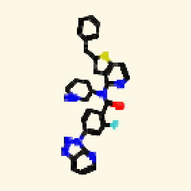 O=C(c1ccc(-n2nnc3cccnc32)cc1F)N(c1nccc2sc(Cc3ccccc3)cc12)[C@@H]1CCCNC1